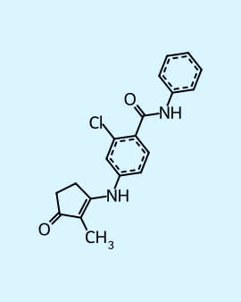 CC1=C(Nc2ccc(C(=O)Nc3ccccc3)c(Cl)c2)CCC1=O